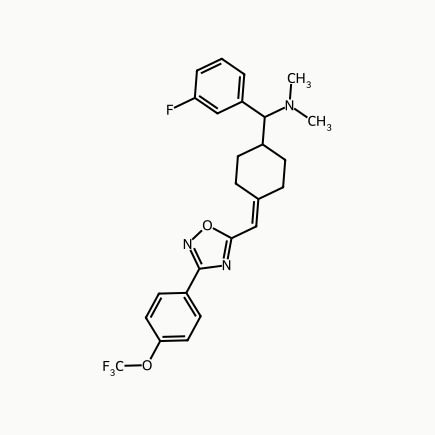 CN(C)C(c1cccc(F)c1)C1CCC(=Cc2nc(-c3ccc(OC(F)(F)F)cc3)no2)CC1